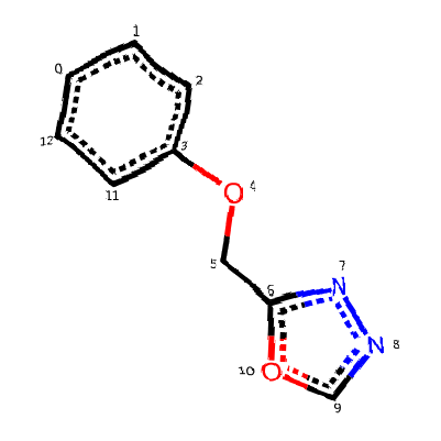 c1ccc(OCc2nnco2)cc1